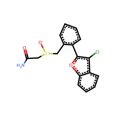 NC(=O)C[S+]([O-])Cc1ccccc1-c1oc2ccccc2c1Cl